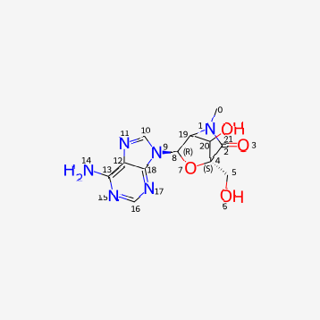 CN1C(=O)[C@@]2(CO)O[C@@H](n3cnc4c(N)ncnc43)C1C2O